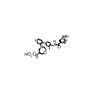 Cc1cc(-c2ccncc2N2CCOCC(N(C)C(=O)O)C2)ccc1CNC(=O)c1cn(C(C)(C)C)nn1